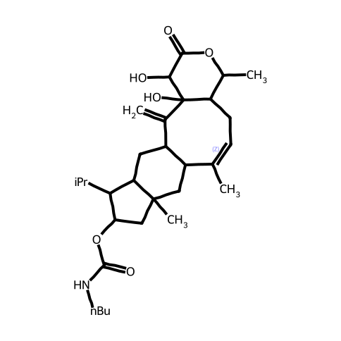 C=C1C2CC3C(C(C)C)C(OC(=O)NCCCC)CC3(C)CC2/C(C)=C\CC2C(C)OC(=O)C(O)C12O